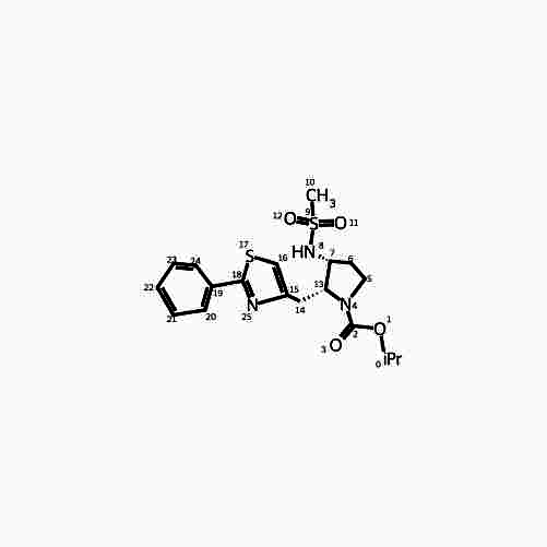 CC(C)OC(=O)N1CC[C@@H](NS(C)(=O)=O)[C@H]1Cc1csc(-c2ccccc2)n1